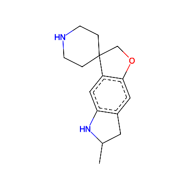 CC1Cc2cc3c(cc2N1)C1(CCNCC1)CO3